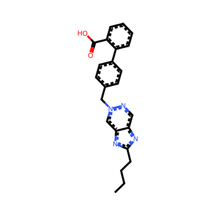 CCCCc1nc2cnn(Cc3ccc(-c4ccccc4C(=O)O)cc3)cc-2n1